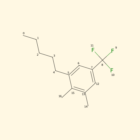 CCCCCc1cc(C(F)(F)F)cc(C)c1C